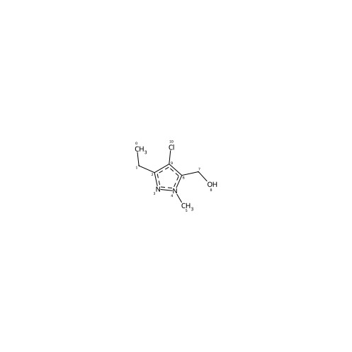 CCc1nn(C)c(CO)c1Cl